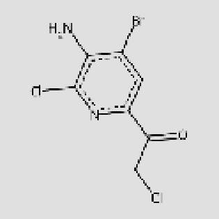 Nc1c(Br)cc(C(=O)CCl)nc1Cl